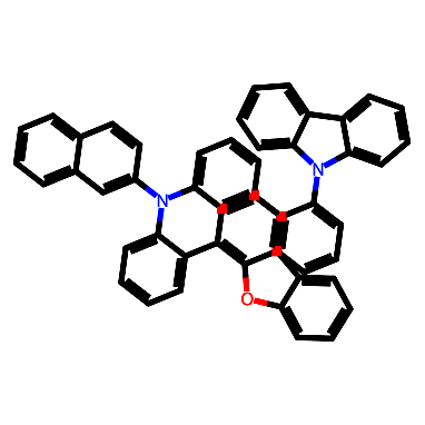 c1cc(-c2ccccc2-n2c3ccccc3c3ccccc32)cc(N(c2ccc3ccccc3c2)c2ccccc2-c2cccc3c2oc2ccccc23)c1